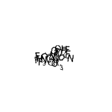 CC1(C)C(=O)N(c2ccc(C#N)c(C(F)(F)F)c2)C(S(=O)(=O)O)N1Cc1ccc(C(F)(F)F)nc1